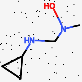 CN(O)CNC1CC1